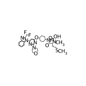 CSCC[C@@H](C(=O)NC1CCC(Oc2cc(-n3c(C(F)F)nc4ccccc43)nc(N3CCOCC3)n2)CC1)N(C)C(=O)O